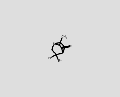 CC1C(=O)C2CCN1CC2(C(C)C)C(C)C